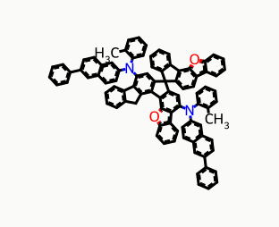 Cc1ccccc1N(c1ccc2cc(-c3ccccc3)ccc2c1)c1cc2c(c3c1-c1ccccc1C3)-c1c(cc(N(c3ccc4cc(-c5ccccc5)ccc4c3)c3ccccc3C)c3c1oc1ccccc13)C21c2ccccc2-c2c1ccc1c2oc2ccccc21